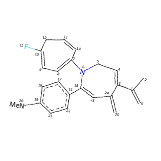 C=C(C)C1=CCN(C2=CC=C(F)CC=C2)C(c2ccc(NC)cc2)=CC1=C